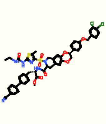 CCNC(=O)Nc1nc(S(=O)(=O)N2Cc3cc4c(cc3CC2C(=O)N[C@@H](Cc2ccc(-c3ccc(C#N)cc3)cc2)C(=O)OC)OC[C@H](c2ccc(OCc3ccc(Cl)c(Cl)c3)cc2)O4)c(C)s1